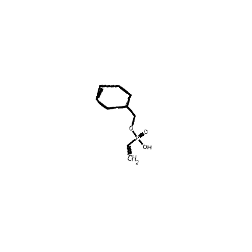 C=CP(=O)(O)OCC1CC=CCC1